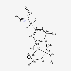 C=C/C(=C\C)C(C)(C)c1cc(I)c(OC(CC)(CC)CC2CO2)c(I)c1